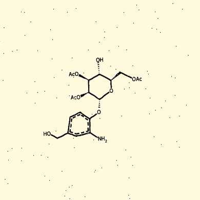 CC(=O)OC[C@H]1O[C@H](Oc2ccc(CO)cc2N)[C@@H](OC(C)=O)[C@@H](OC(C)=O)[C@@H]1O